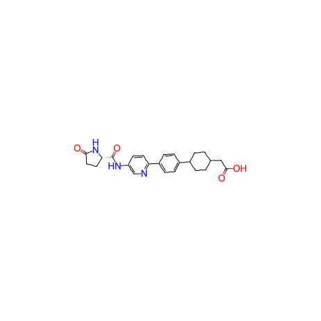 O=C(O)CC1CCC(c2ccc(-c3ccc(NC(=O)[C@@H]4CCC(=O)N4)cn3)cc2)CC1